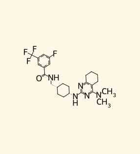 CN(C)c1nc(N[C@H]2CC[C@@H](CNC(=O)c3cc(F)cc(C(F)(F)F)c3)CC2)nc2c1CCCC2